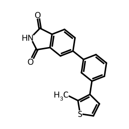 Cc1sccc1-c1cccc(-c2ccc3c(c2)C(=O)NC3=O)c1